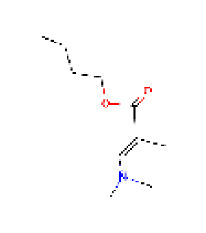 CCCCOC(=O)C(C)=CN(C)C